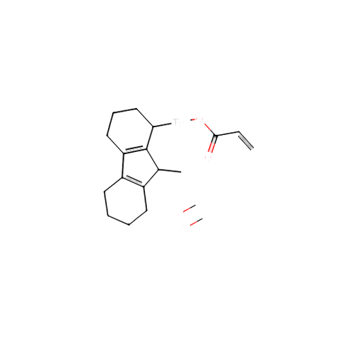 C=CC(=O)[O][Ti+2][CH]1CCCC2=C1C(C)C1=C2CCCC1.C[O-].C[O-]